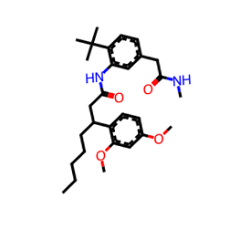 CCCCCC(CC(=O)Nc1cc(CC(=O)NC)ccc1C(C)(C)C)c1ccc(OC)cc1OC